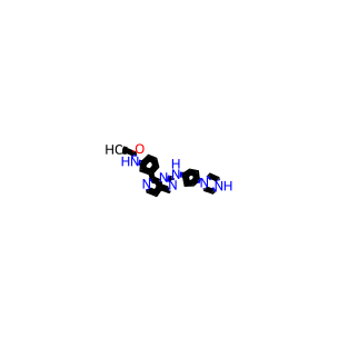 C#CC(=O)Nc1cccc(-c2nccc3cnc(Nc4ccc(N5CCNCC5)cc4)nc23)c1